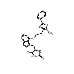 Cc1oc(-c2ccccc2)nc1CCOc1ccsc2ccc(CC3SC(=O)NC3=O)c1-2